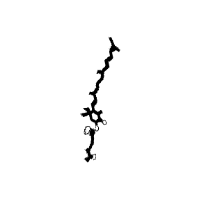 CC(=O)CCC(=O)OC1CC(C)(C)C(/C=C/C(C)=C/C=C/C(C)=C/C=C/C=C(C)C)=C(C)C1=O